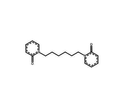 O=c1ccccn1CCCCCCn1ccccc1=O